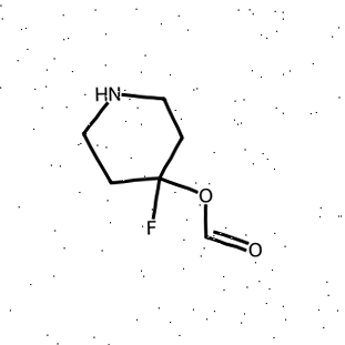 O=COC1(F)CCNCC1